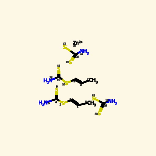 CC=CSC(N)=S.CC=CSC(N)=S.NC(=S)[S-].NC(=S)[S-].[Zn+2]